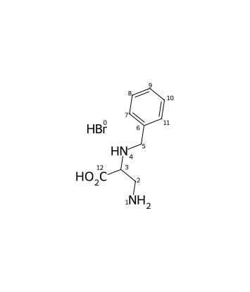 Br.NCC(NCc1ccccc1)C(=O)O